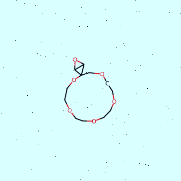 C1COCCOCC2(OCCOCCO1)C1OC12